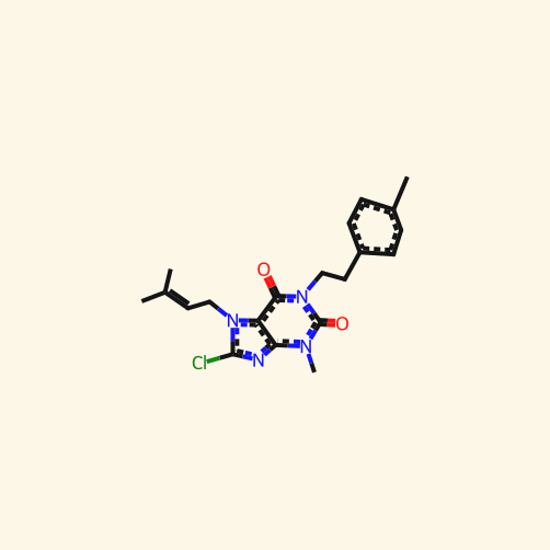 CC(C)=CCn1c(Cl)nc2c1c(=O)n(CCc1ccc(C)cc1)c(=O)n2C